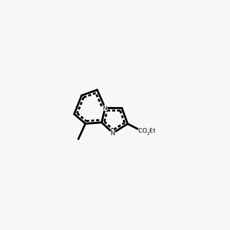 CCOC(=O)c1cn2cccc(C)c2n1